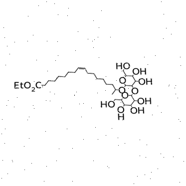 CCOC(=O)CCCCCCC/C=C\CCCCCCC(C)OC1OC(CO)C(O)C(O)C1OC1OC(CO)C(O)C(O)C1O